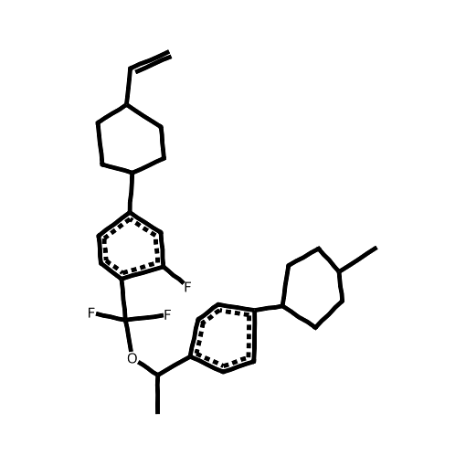 C=CC1CCC(c2ccc(C(F)(F)OC(C)c3ccc(C4CCC(C)CC4)cc3)c(F)c2)CC1